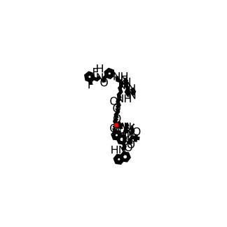 C[C@@H](C(=O)N[C@H](C(=O)N1Cc2cc(OCCOCCOCC(=O)NCCCn3c(CNc4cccc(C(=O)NCc5c(F)cccc5F)c4)nnc3-c3ccncn3)ccc2CC1C(=O)N[C@@H]1CCCc2ccccc21)C(C)(C)C)N(C)C(=O)OC(C)(C)C